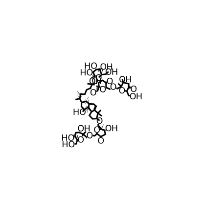 CC(C1CC(O)[C@]2(C)C3CCC(OC[C@]4(C)OC(COCC5(C)OC(CO)[C@@H](O)CC5O)C(=O)CC4O)C(C)(C)C3=CCC2[C@H]1C)[C@H](C)CCC(OC[C@@]1(C)OC(COCC2(C)OC(CO)C(=O)CC2O)C(=O)CC1O[C@@]1(C)OC(CO)[C@H](O)C(O)C1O)C(C)(C)O